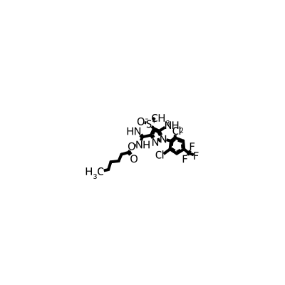 CCCCCC(=O)ONC(=N)c1nn(-c2c(Cl)cc(C(F)(F)F)cc2Cl)c(N)c1[S+](C)[O-]